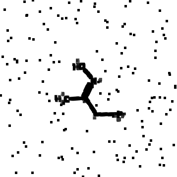 CCCCC(C)=NO